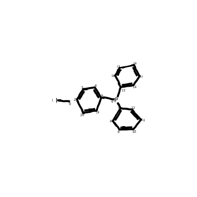 CI.c1ccc(P(c2ccccc2)c2ccccc2)cc1